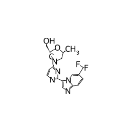 C[C@H]1CN(c2ccnc(-c3cnc4ccc(C(F)F)cn34)n2)C[C@@H](CO)O1